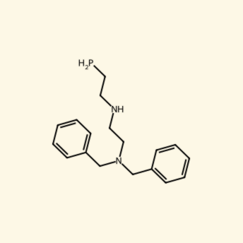 PCCNCCN(Cc1ccccc1)Cc1ccccc1